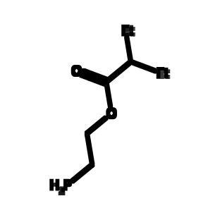 CCC(CC)C(=O)OCCP